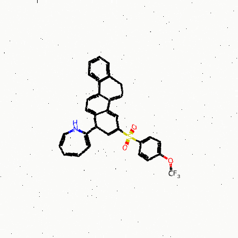 O=S(=O)(c1ccc(OC(F)(F)F)cc1)C1C=c2c(ccc3c2=CCc2ccccc2-3)C(C2=CC=CC=CN2)C1